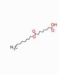 CCCCCCCCOC(=O)CCCCCCC(=O)O